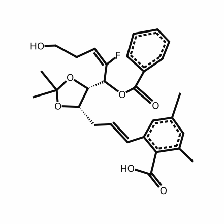 Cc1cc(C)c(C(=O)O)c(/C=C/C[C@@H]2OC(C)(C)O[C@@H]2C(OC(=O)c2ccccc2)/C(F)=C\CCO)c1